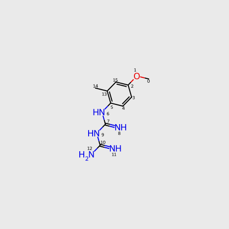 COc1ccc(NC(=N)NC(=N)N)c(C)c1